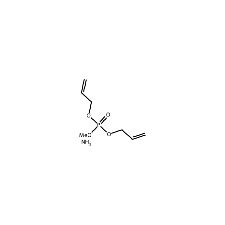 C=CCOP(=O)(OC)OCC=C.N